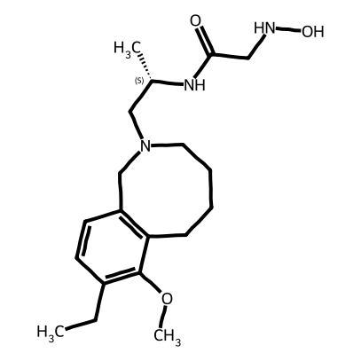 CCc1ccc2c(c1OC)CCCCN(C[C@H](C)NC(=O)CNO)C2